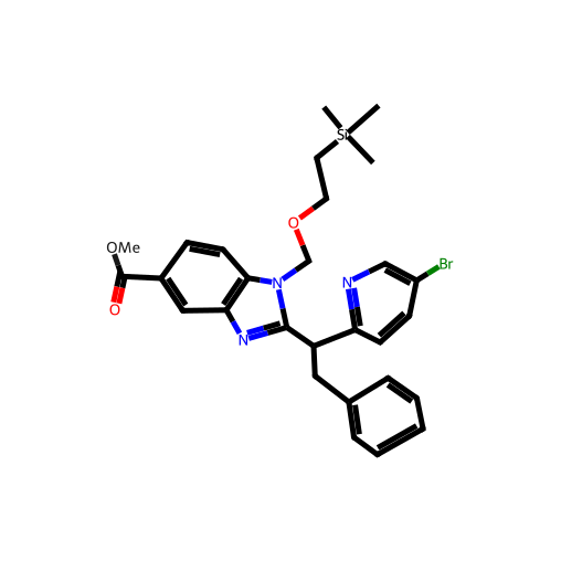 COC(=O)c1ccc2c(c1)nc(C(Cc1ccccc1)c1ccc(Br)cn1)n2COCC[Si](C)(C)C